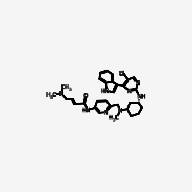 CN(C)C/C=C/C(=O)Nc1ccc(CN(C)C2CCC[C@@H](Nc3ncc(Cl)c(-c4c[nH]c5ccccc45)n3)C2)nc1